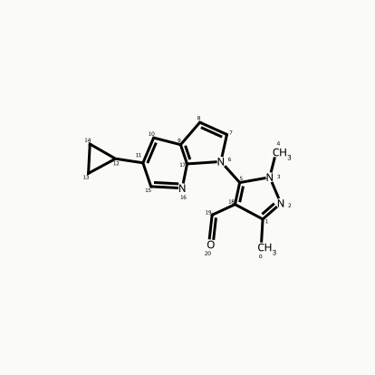 Cc1nn(C)c(-n2ccc3cc(C4CC4)cnc32)c1C=O